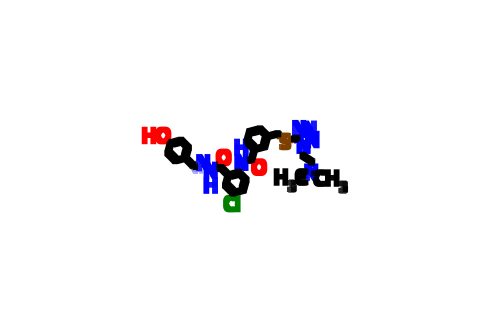 CN(C)CCn1nnnc1SCc1cccc(C(=O)Nc2ccc(Cl)cc2C(=O)N/N=C/c2ccc(O)cc2)c1